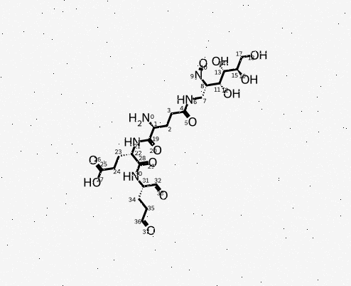 N[C@@H](CCC(=O)NC[C@H](N=O)[C@@H](O)[C@H](O)[C@H](O)CO)C(=O)N[C@@H](CCC(=O)O)C(=O)N[C@H](C=O)CCC=O